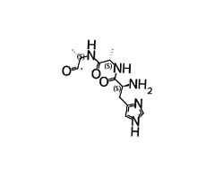 C[C@H](NC(=O)[C@@H](N)Cc1c[nH]cn1)C(=O)N[C@@H](C)[C]=O